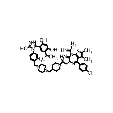 CC(=N)N1C(=N)[C@H](CC(=O)N2CCC(CN3CCN(Cc4ccc(-n5c(O)nnc5-c5cc(C(C)C)c(O)cc5O)cc4)CC3)CC2)N=C(c2ccc(Cl)cc2)c2c1sc(C)c2C